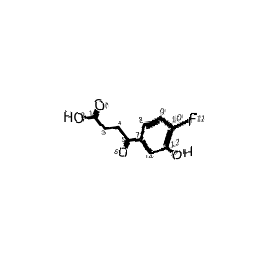 O=C(O)CCC(=O)c1ccc(F)c(O)c1